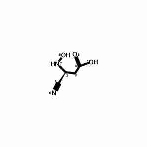 N#C[C@H](CC(=O)O)NO